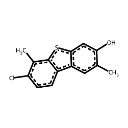 Cc1cc2c(cc1O)sc1c(C)c(Cl)ccc12